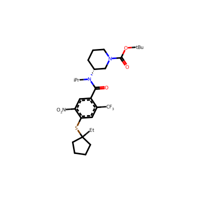 CCC1(Sc2cc(C(F)(F)F)c(C(=O)N(C(C)C)[C@@H]3CCCN(C(=O)OC(C)(C)C)C3)cc2[N+](=O)[O-])CCCC1